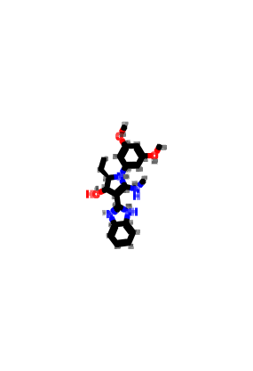 CC[C@@H]1C(O)C(c2nc3ccccc3[nH]2)=C(NC)N1c1cc(OC)cc(OC)c1